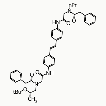 CCCN(CC(=O)Nc1ccc(/C=C/c2ccc(NC(=O)CN(C[C@@H](C)OC(C)(C)C)C(=O)Cc3ccccc3)cc2)cc1)C(=O)Cc1ccccc1